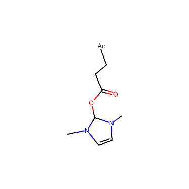 CC(=O)CCC(=O)OC1N(C)C=CN1C